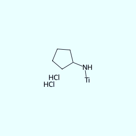 Cl.Cl.[Ti][NH]C1CCCC1